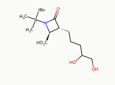 CC(C)(C)[Si](C)(C)N1C(=O)[C@H](CCCC(O)CO)[C@H]1C(=O)O